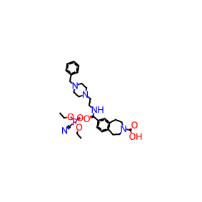 CCOP(=O)(C#N)OCC.O=C(NCCN1CCN(Cc2ccccc2)CC1)c1ccc2c(c1)CCN(C(=O)O)CC2